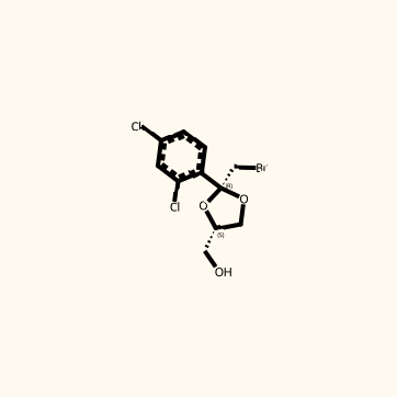 OC[C@H]1CO[C@](CBr)(c2ccc(Cl)cc2Cl)O1